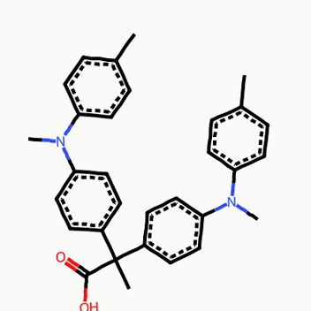 Cc1ccc(N(C)c2ccc(C(C)(C(=O)O)c3ccc(N(C)c4ccc(C)cc4)cc3)cc2)cc1